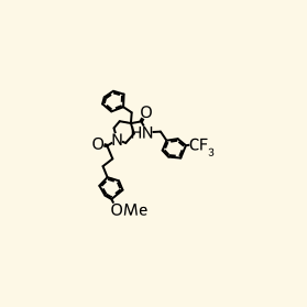 COc1ccc(CCC(=O)N2CCC(Cc3ccccc3)(C(=O)NCc3cccc(C(F)(F)F)c3)CC2)cc1